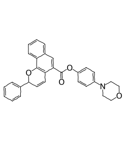 O=C(Oc1ccc(N2CCOCC2)cc1)c1cc2ccccc2c2c1C=CC(c1ccccc1)O2